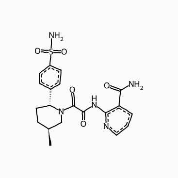 C[C@H]1CC[C@H](c2ccc(S(N)(=O)=O)cc2)N(C(=O)C(=O)Nc2ncccc2C(N)=O)C1